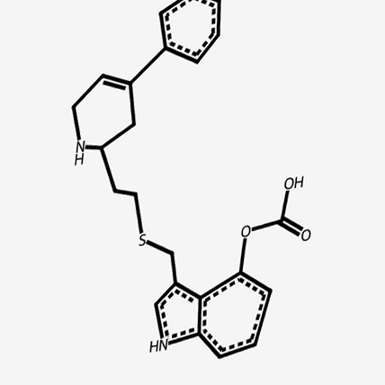 O=C(O)Oc1cccc2[nH]cc(CSCCC3CC(c4ccccc4)=CCN3)c12